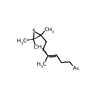 CC(=O)CCC=C(C)CCC1(C)SC1(C)C